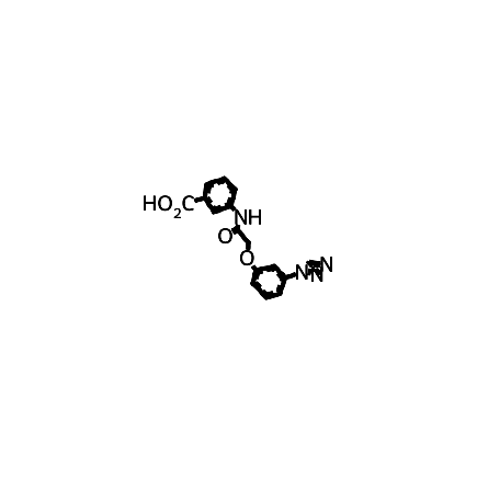 O=C(COc1cccc(-n2c3nn2-3)c1)Nc1cccc(C(=O)O)c1